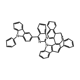 c1ccc(-n2c3ccccc3c3cc(-c4nc(-n5c6ccccc6c6cc7c8c(c65)-c5ccc6ccccc6c5C(CC8)c5ccccc5-7)nc5ccccc45)ccc32)cc1